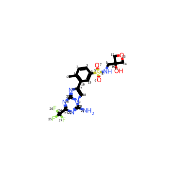 Cc1ccc(S(=O)(=O)NCC2(O)COC2)cc1-c1cn2c(N)nc(C(F)(F)F)nc2n1